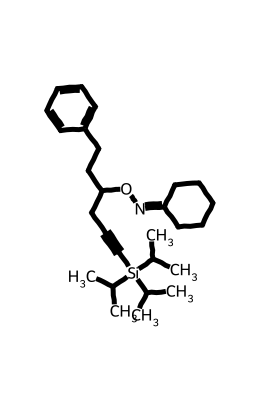 CC(C)[Si](C#CCC(CCc1ccccc1)ON=C1CCCCC1)(C(C)C)C(C)C